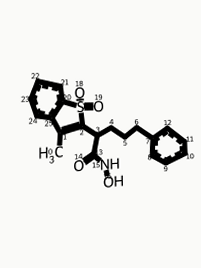 CC1=C(C(CCCc2ccccc2)C(=O)NO)S(=O)(=O)c2ccccc21